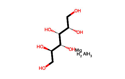 OC[C@@H](O)[C@@H](O)[C@H](O)[C@@H](O)CO.[AlH3].[MgH2]